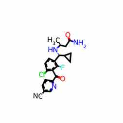 C[C@@H](CC(N)=O)N[C@@H](c1ccc(Cl)c(C(=O)c2ccc(C#N)cn2)c1F)C1CC1